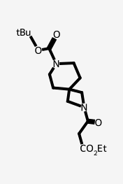 CCOC(=O)CC(=O)N1CC2(CCN(C(=O)OC(C)(C)C)CC2)C1